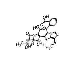 CSc1ncn2c(Cc3ccccc3C(=O)O)c(C3=C(C(=O)O)N4C(=O)[C@H]([C@@H](C)O)[C@H]4[C@H]3C)sc12